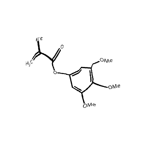 C=C(CC)C(=O)Oc1cc(OC)c(OC)c(OC)c1